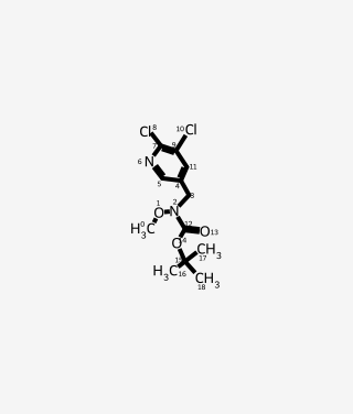 CON(Cc1cnc(Cl)c(Cl)c1)C(=O)OC(C)(C)C